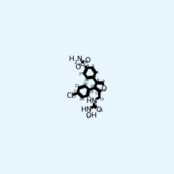 NS(=O)(=O)c1ccc(-c2coc(CNC(=O)NO)c2-c2ccc(Cl)cc2)cc1